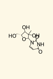 CC1(O)C(O)[C@@H](CO)OC1n1ccc(=O)[nH]c1=O